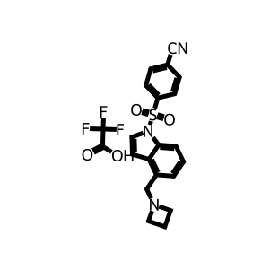 N#Cc1ccc(S(=O)(=O)n2ccc3c(CN4CCC4)cccc32)cc1.O=C(O)C(F)(F)F